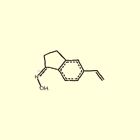 C=Cc1ccc2c(c1)CC/C2=N/O